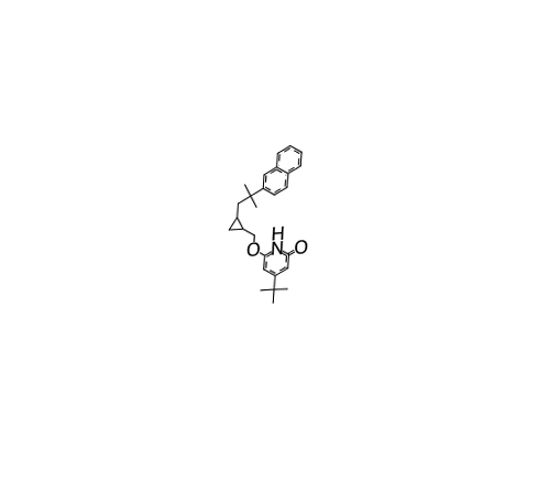 CC(C)(C)c1cc(OCC2CC2CC(C)(C)c2ccc3ccccc3c2)[nH]c(=O)c1